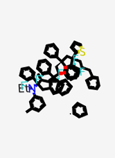 CCN(c1cccc(C)c1)C(Cc1cc[c]c(F)c1)(c1ccccc1F)C(C)CC(CC[C@](CC(CCCc1ccccc1)(c1cccs1)c1ccccc1F)(c1ccccc1)c1ccccc1F)(c1ccccc1)c1ccccc1F.[c]1ccccc1